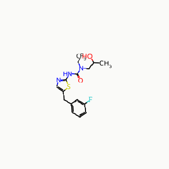 CC(O)CN(CC(F)(F)F)C(=O)Nc1ncc(Cc2cccc(F)c2)s1